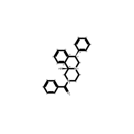 O=C(c1ccccc1)N1CCN2C[C@H](c3ccccc3)c3ccccc3[C@H]2C1